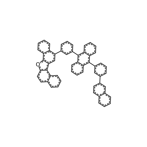 c1cc(-c2ccc3ccccc3c2)cc(-c2c3ccccc3c(-c3cccc(-c4cc5c(oc6ccc7ccccc7c65)c5ccccc45)c3)c3ccccc23)c1